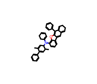 CC1=CC(N(C2=CC=CCC2)c2cccc3c2oc2c(-c4ccccc4)c4c(cc23)=CCCC=4)C(C)C=C1c1ccccc1